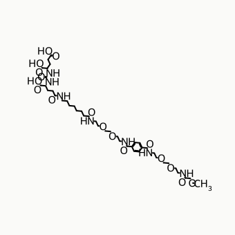 COCC(=O)NCCOCCOCCNC(=O)c1ccc(C(=O)NCCOCCOCCNC(=O)CCCCCCCNC(=O)CCC(NC(=O)NC(CCC(=O)O)C(=O)O)C(=O)O)cc1